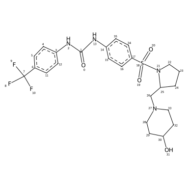 O=C(Nc1ccc(C(F)(F)F)cc1)Nc1ccc(S(=O)(=O)N2CCCC2CN2CCC(O)CC2)cc1